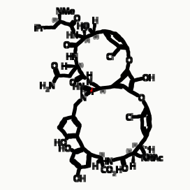 CN[C@H](CC(C)C)C(=O)N[C@H]1C(=O)N[C@@H](CC(N)=O)C(=O)N[C@H]2C(=N)NCc3ccc(O)c(c3)-c3c(O)cc(O)cc3[C@@H](C(=O)O)NC(=O)[C@@H](NC(C)=O)[C@H](O)c3ccc(c(Cl)c3)Oc3cc2cc(c3O)Oc2ccc(cc2Cl)[C@H]1O